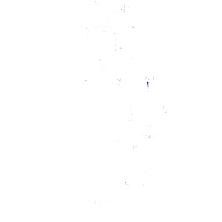 CCN1CCC(C(=O)N[C@H]2CC[C@H](Nc3cc(-c4c[nH]c5nccnc45)cc(Cl)n3)CC2)C1